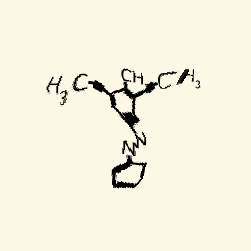 CC#Cc1cc(/N=N/c2ccccc2)cc(C#CC)c1C